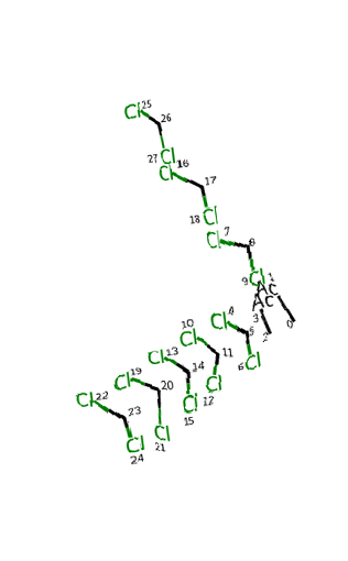 CC(C)=O.CC(C)=O.ClCCl.ClCCl.ClCCl.ClCCl.ClCCl.ClCCl.ClCCl.ClCCl